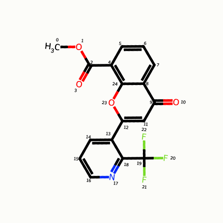 COC(=O)c1cccc2c(=O)cc(-c3cccnc3C(F)(F)F)oc12